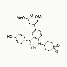 CCCN(c1ccc(C(COC)CC(=O)OC)cc1Nc1ccc(C#N)cc1)C1CCS(=O)(=O)CC1